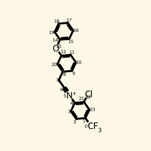 FC(F)(F)c1ccc([N+]#C[CH]c2cccc(Oc3ccccc3)c2)c(Cl)c1